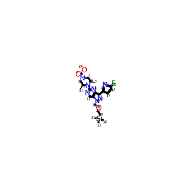 COC(=O)N1C[C@@H](C)N(c2ncc3c(n2)c(-c2ccc(F)nc2)nn3COCC[Si](C)(C)C)[C@@H](C)C1